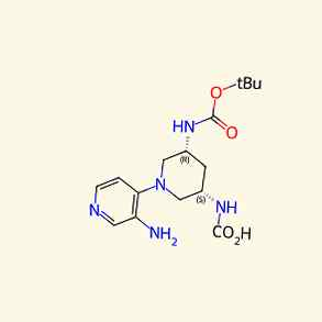 CC(C)(C)OC(=O)N[C@@H]1C[C@H](NC(=O)O)CN(c2ccncc2N)C1